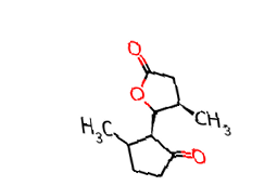 CC1CCC(=O)[C@@H]1C1OC(=O)C[C@H]1C